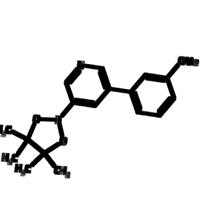 COc1cccc(-c2cncc(B3OC(C)(C)C(C)(C)O3)c2)c1